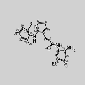 CCc1cc(NC(=O)/C=C/c2cccnc2Nc2c(C)cc(C)cc2C)c(N)cc1Cl